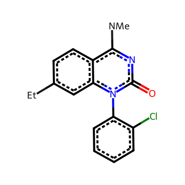 CCc1ccc2c(NC)nc(=O)n(-c3ccccc3Cl)c2c1